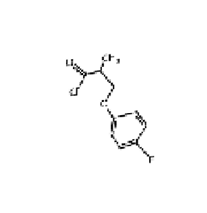 CC(COc1ccc(F)cc1)C(=O)Cl